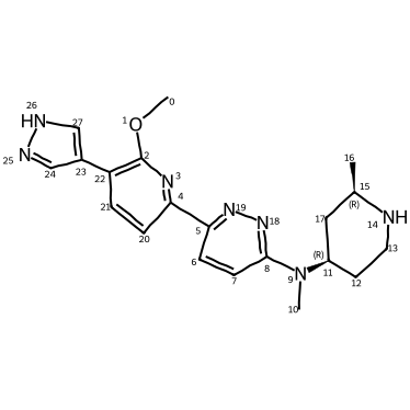 COc1nc(-c2ccc(N(C)[C@@H]3CCN[C@H](C)C3)nn2)ccc1-c1cn[nH]c1